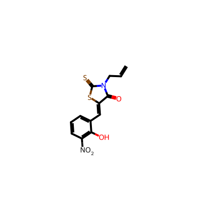 C=CCN1C(=O)/C(=C/c2cccc([N+](=O)[O-])c2O)SC1=S